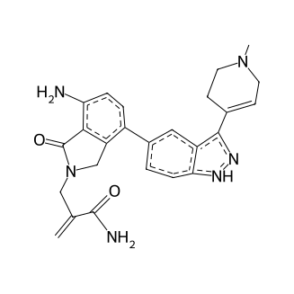 C=C(CN1Cc2c(-c3ccc4[nH]nc(C5=CCN(C)CC5)c4c3)ccc(N)c2C1=O)C(N)=O